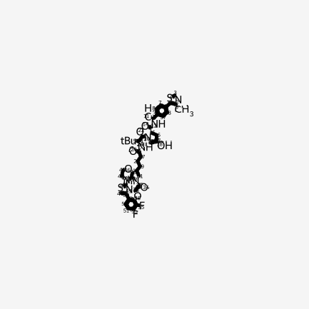 Cc1ncsc1-c1ccc([C@H](C)NC(=O)[C@@H]2C[C@@H](O)CN2C(=O)C(NC(=O)CCCCCNC(=O)COc2c(-c3csc(N4CCOCC4)n3)ccc(F)c2F)C(C)(C)C)cc1